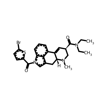 CCN(CC)C(=O)[C@@H]1C=C2c3cccc4c3c(cn4C(=O)c3ccc(Br)s3)C[C@H]2N(C)C1